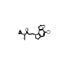 O=C(CCC1CCc2cc(Cl)c3c(c21)CCO3)NC1CC1